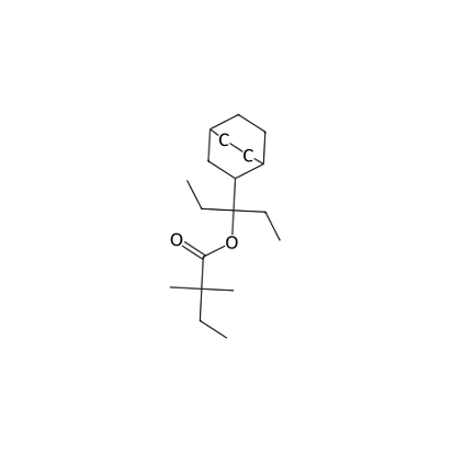 CCC(C)(C)C(=O)OC(CC)(CC)C1CC2CCC1CC2